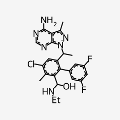 CCNC(O)c1c(C)c(Cl)cc(C(C)n2nc(C)c3c(N)ncnc32)c1-c1cc(F)cc(F)c1